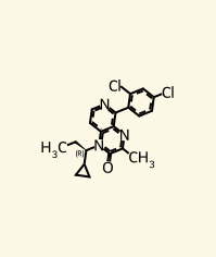 CC[C@H](C1CC1)n1c(=O)c(C)nc2c(-c3ccc(Cl)cc3Cl)nccc21